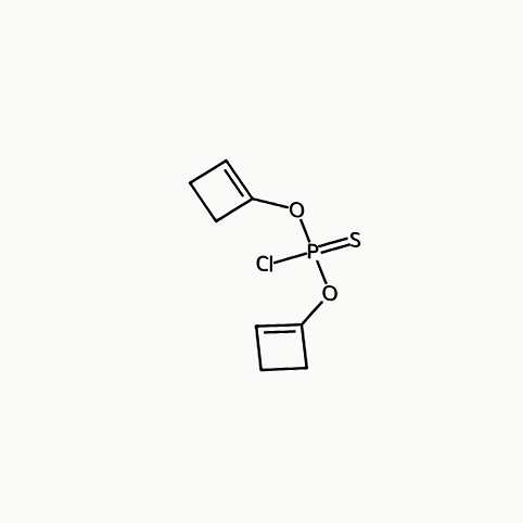 S=P(Cl)(OC1=CCC1)OC1=CCC1